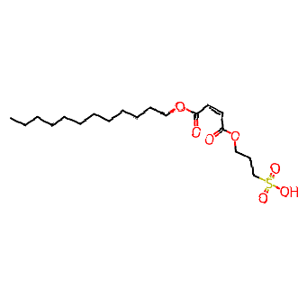 CCCCCCCCCCCCOC(=O)/C=C\C(=O)OCCCS(=O)(=O)O